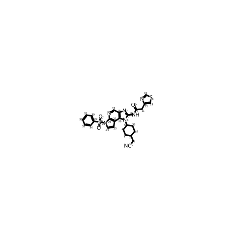 N#CCC1CCC(n2c(NC(=O)Cc3cscn3)nc3cnc4c(ccn4S(=O)(=O)c4ccccc4)c32)CC1